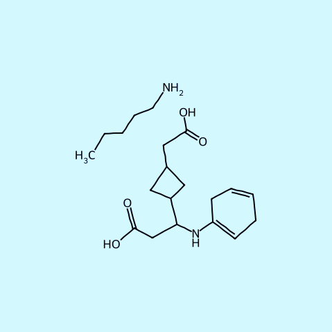 CCCCCN.O=C(O)CC1CC(C(CC(=O)O)NC2=CCC=CC2)C1